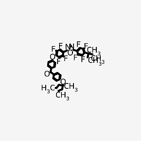 CCCC(C)(CCC)Oc1ccc(C(=O)c2ccc(Oc3c(F)c(F)c(-c4nnc(-c5c(F)c(F)c(C(C)(CC)CC)c(F)c5F)o4)c(F)c3F)cc2)cc1